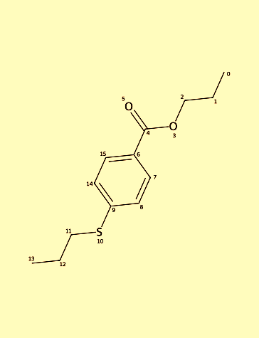 CCCOC(=O)c1ccc(SCCC)cc1